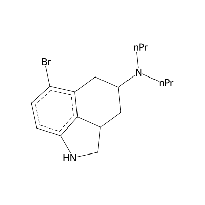 CCCN(CCC)C1Cc2c(Br)ccc3c2C(CN3)C1